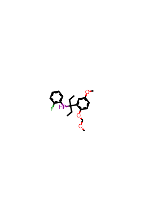 CCC(CC)(Pc1ccccc1F)c1cc(OC)ccc1OCOC